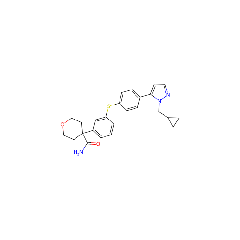 NC(=O)C1(c2cccc(Sc3ccc(-c4ccnn4CC4CC4)cc3)c2)CCOCC1